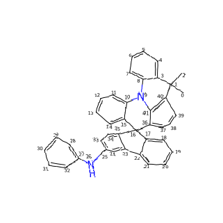 CC1(C)c2ccccc2N2c3ccccc3C3(c4ccccc4-c4cc(Nc5ccccc5)ccc43)c3cccc1c32